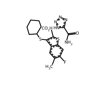 Cc1cc2c(SC3CCCCC3)c(C(=O)O)sc2cc1F.NC(=O)c1nnn[nH]1